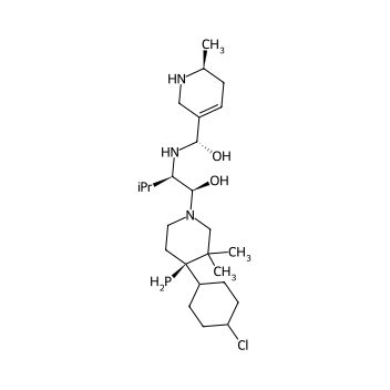 CC(C)[C@@H](N[C@@H](O)C1=CC[C@H](C)NC1)[C@@H](O)N1CC[C@@](P)(C2CCC(Cl)CC2)C(C)(C)C1